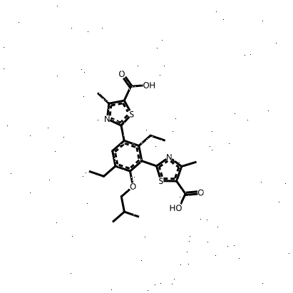 CCc1cc(-c2nc(C)c(C(=O)O)s2)c(CC)c(-c2nc(C)c(C(=O)O)s2)c1OCC(C)C